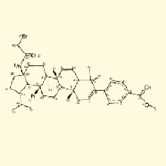 COC(=O)c1ccc(C2=CC[C@@]3(C)C(CC[C@]4(C)C3CC[C@@H]3C5[C@H](C(C)C)CC[C@]5(NC(=O)CBr)CC[C@]34C)C2(C)C)cc1